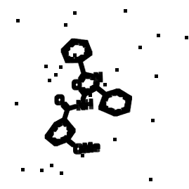 COc1cccc(C(=O)Nc2oc(-c3ccccc3)nc2-c2ccccc2)c1